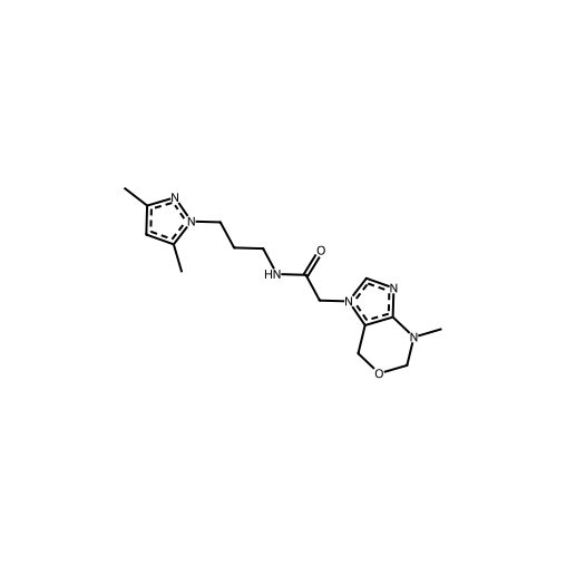 Cc1cc(C)n(CCCNC(=O)Cn2cnc3c2COCN3C)n1